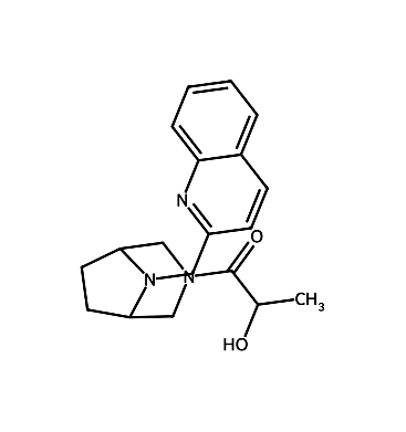 CC(O)C(=O)N1CC2CCC(C1)N2Cc1ccc2ccccc2n1